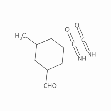 CC1CCCC(C=O)C1.N=C=O.N=C=O